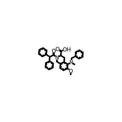 COc1ccc2c(c1N(C)Cc1ccccc1)CC(C(=O)O)N(C(=O)C(c1ccccc1)c1ccccc1)C2